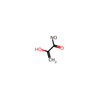 C=C(O)C(=O)N=O